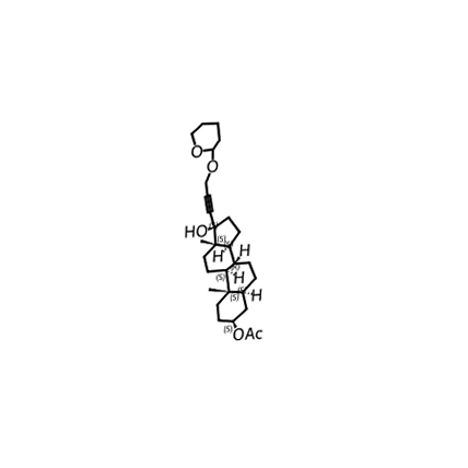 CC(=O)O[C@H]1CC[C@@]2(C)[C@@H](CC[C@@H]3[C@@H]2CC[C@@]2(C)[C@H]3CC[C@@]2(O)C#CCOC2CCCCO2)C1